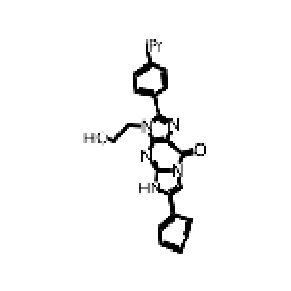 CC(C)c1ccc(-c2nc3c(=O)n4cc(-c5ccccc5)[nH]c4nc3n2CCO)cc1